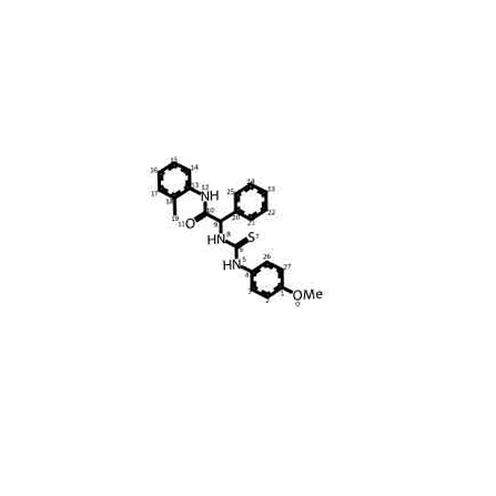 COc1ccc(NC(=S)NC(C(=O)Nc2ccccc2C)c2ccccc2)cc1